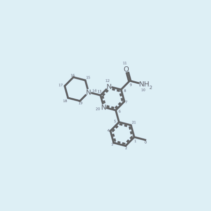 Cc1cccc(-c2cc(C(N)=O)nc(N3CCCCC3)n2)c1